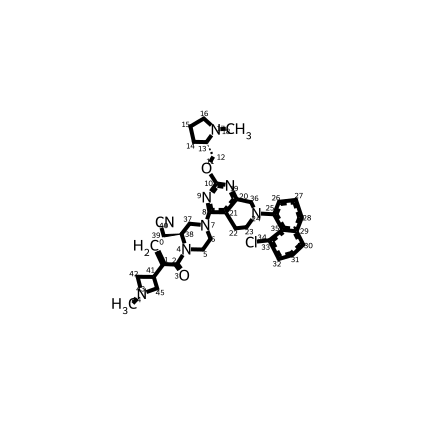 C=C(C(=O)N1CCN(c2nc(OC[C@@H]3CCCN3C)nc3c2CCN(c2cccc4cccc(Cl)c24)C3)C[C@@H]1CC#N)C1CN(C)C1